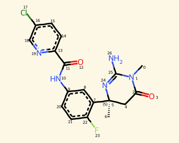 CN1C(=O)C[C@@](C)(c2cc(NC(=O)c3ccc(Cl)cn3)ccc2F)N=C1N